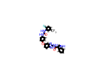 O=C(Nc1ccc(Oc2ccc3[nH]c(NC(=O)c4c[nH]c5ccccc45)nc3c2)cc1)Nc1cc(C(F)(F)F)ccc1F